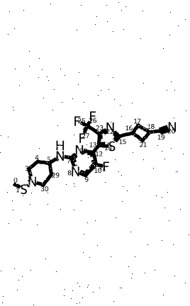 CSN1CCC(Nc2ncc(F)c(-c3sc(C4CC(C#N)C4)nc3C(F)(F)F)n2)CC1